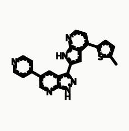 Cc1ccc(-c2ccnc3[nH]c(-c4n[nH]c5ncc(-c6ccncc6)cc45)cc23)s1